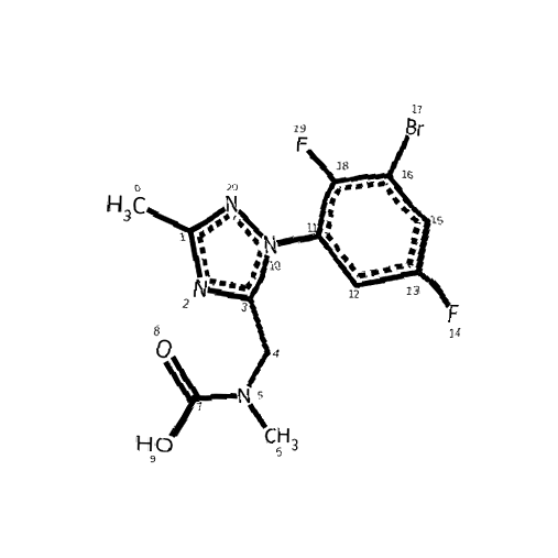 Cc1nc(CN(C)C(=O)O)n(-c2cc(F)cc(Br)c2F)n1